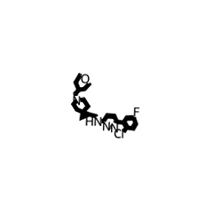 Fc1ccc(Cl)c(-c2ccc(NCC3CC34CCN(CC3CCOCC3)CC4)nn2)c1